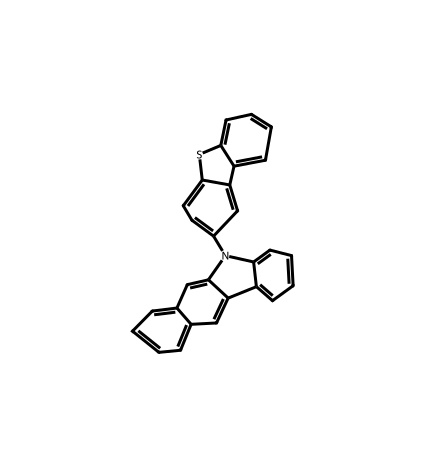 c1ccc2cc3c(cc2c1)c1ccccc1n3-c1ccc2sc3ccccc3c2c1